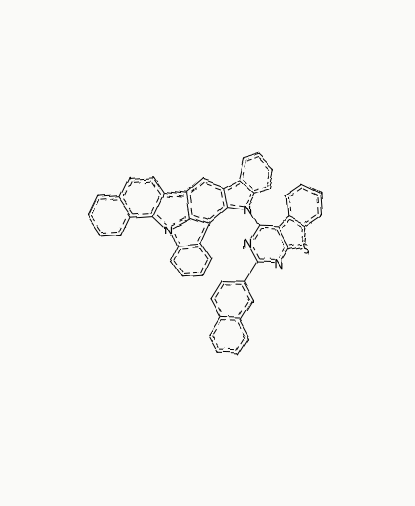 c1ccc2cc(-c3nc(-n4c5ccccc5c5cc6c7ccc8ccccc8c7n7c8ccccc8c(c54)c67)c4c(n3)sc3ccccc34)ccc2c1